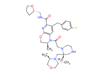 C[C@@H]1COC[C@@H](C)N1C[C@@]1(C)CNCCN1CC(=O)N1c2cc(Cc3ccc(F)cc3)c(C(=O)NC[C@@H]3CCCO3)nc2OC[C@@H]1C